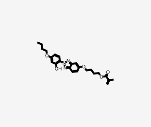 C=C(C)C(=O)OCCCCOc1ccc2nn(-c3ccc(OCCCC)cc3O)nc2c1